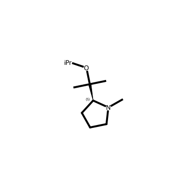 CC(C)OC(C)(C)[C@@H]1CCCN1C